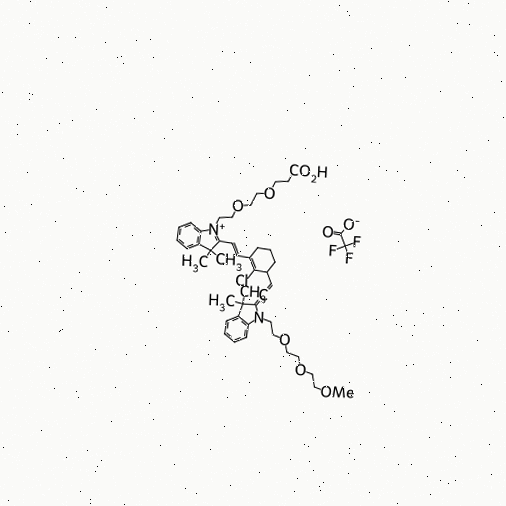 COCCOCCOCCN1C(=C=CC2CCCC(/C=C/C3=[N+](CCOCCOCCC(=O)O)c4ccccc4C3(C)C)=C2Cl)C(C)(C)c2ccccc21.O=C([O-])C(F)(F)F